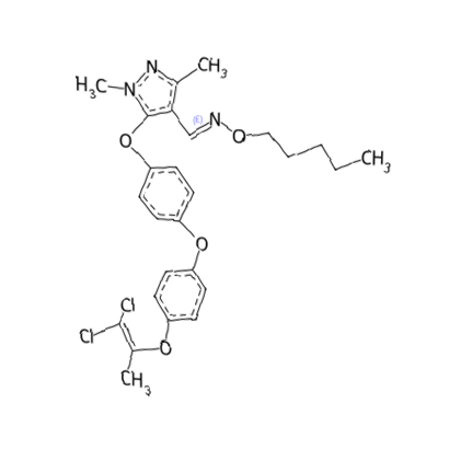 CCCCCO/N=C/c1c(C)nn(C)c1Oc1ccc(Oc2ccc(OC(C)=C(Cl)Cl)cc2)cc1